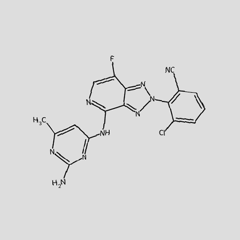 Cc1cc(Nc2ncc(F)c3nn(-c4c(Cl)cccc4C#N)nc23)nc(N)n1